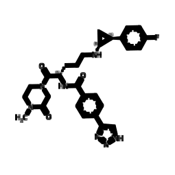 CN1CCN(C(=O)[C@H](CCCN[C@@H]2C[C@H]2c2ccc(F)cc2)NC(=O)c2ccc(-c3c[nH]nn3)cc2)CC1=O